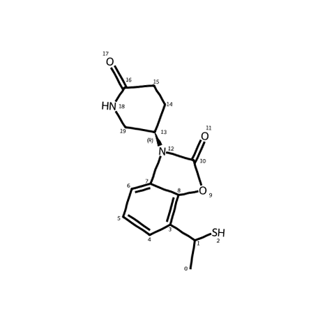 CC(S)c1cccc2c1oc(=O)n2[C@@H]1CCC(=O)NC1